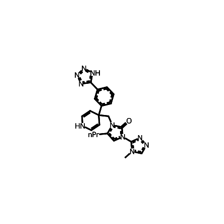 CCCc1cn(-c2nncn2C)c(=O)n1CC1(c2cccc(-c3nnn[nH]3)c2)C=CNC=C1